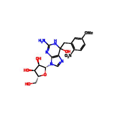 COc1ccc([N+](=O)[O-])c(CC2(O)NC(N)=Nc3c2ncn3[C@@H]2O[C@H](CO)[C@@H](O)[C@H]2O)c1